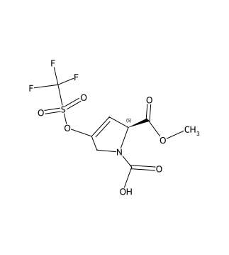 COC(=O)[C@@H]1C=C(OS(=O)(=O)C(F)(F)F)CN1C(=O)O